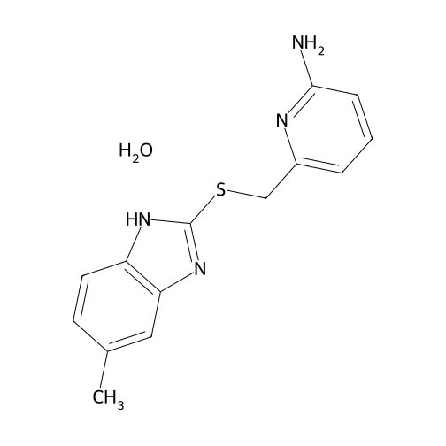 Cc1ccc2[nH]c(SCc3cccc(N)n3)nc2c1.O